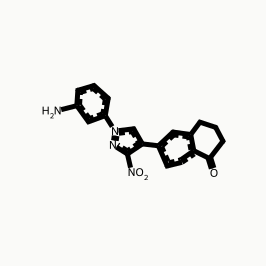 Nc1cccc(-n2cc(-c3ccc4c(c3)CCCC4=O)c([N+](=O)[O-])n2)c1